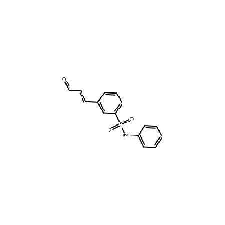 O=C/C=C/c1cccc(S(=O)(=O)Nc2ccccc2)c1